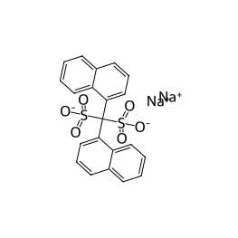 O=S(=O)([O-])C(c1cccc2ccccc12)(c1cccc2ccccc12)S(=O)(=O)[O-].[Na+].[Na+]